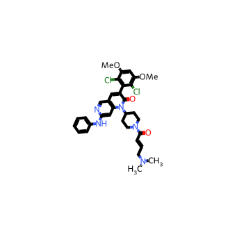 COc1cc(OC)c(Cl)c(-c2cc3cnc(Nc4ccccc4)cc3n(C3CCN(C(=O)C=CCN(C)C)CC3)c2=O)c1Cl